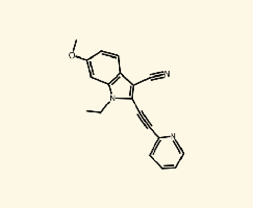 CCn1c(C#Cc2ccccn2)c(C#N)c2ccc(OC)cc21